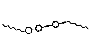 CCCCCCCCC#Cc1ccc(C#Cc2ccc([C@H]3CC[C@H](CCCCCCCC)CC3)cc2)cc1